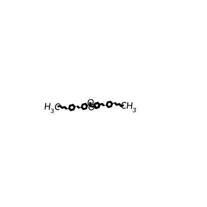 CCCCC[C@H]1CC[C@H](CCc2ccc(OC(=O)[C@H]3CC[C@H](CC[C@H]4CC[C@H](CCCCC)CC4)CC3)cc2)CC1